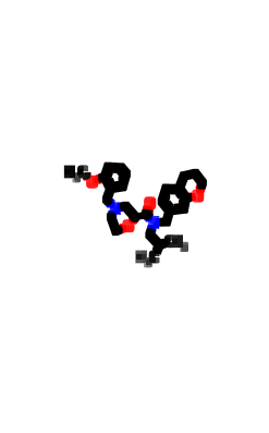 COc1ccccc1CN1CCO[C@H](C(=O)N(Cc2ccc3c(c2)OCCC3)CC(C)C)C1